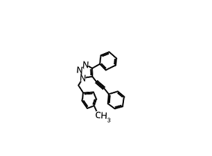 Cc1ccc(Cn2nnc(-c3ccccc3)c2C#Cc2ccccc2)cc1